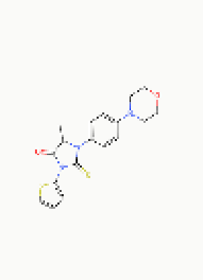 CC1C(=O)N(c2cccs2)C(=S)N1c1ccc(N2CCOCC2)cc1